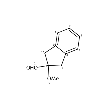 COC1(C=O)Cc2ccccc2C1